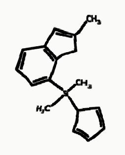 CC1=Cc2cccc([Si](C)(C)C3C=CC=C3)c2C1